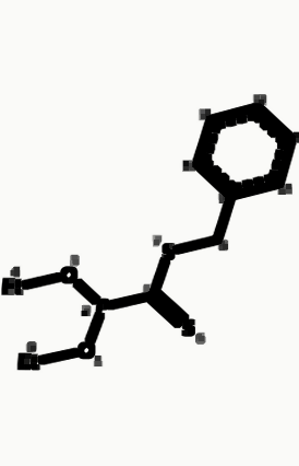 CCOP(OCC)C(=S)SCc1ccccc1